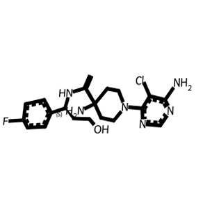 C=C(N[C@@H](CCO)c1ccc(F)cc1)C1(N)CCN(c2ncnc(N)c2Cl)CC1